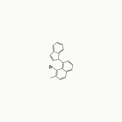 Cc1ccc2cccc(C3C=Cc4ccccc43)c2c1Br